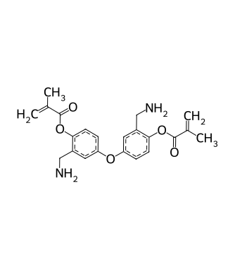 C=C(C)C(=O)Oc1ccc(Oc2ccc(OC(=O)C(=C)C)c(CN)c2)cc1CN